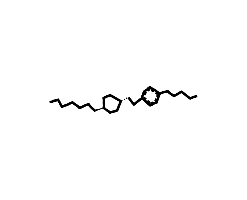 CCCCCCC[C@H]1CC[C@H](CCc2ccc(CCCCC)cc2)CC1